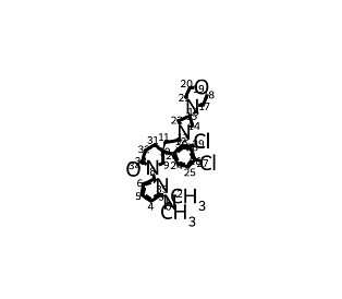 CN(C)c1cccc(N2C[C@@](CCN3CC(N4CCOCC4)C3)(c3ccc(Cl)c(Cl)c3)CCC2=O)n1